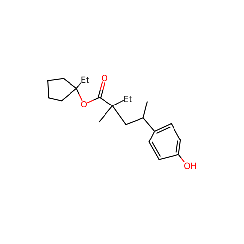 CCC1(OC(=O)C(C)(CC)CC(C)c2ccc(O)cc2)CCCC1